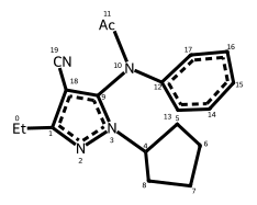 CCc1nn(C2CCCC2)c(N(C(C)=O)c2ccccc2)c1C#N